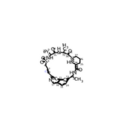 CC(C)C1NS(=O)(=O)C/C=C/c2cc3cc(ccc3cn2)[C@@H](C)NC(=O)[C@@H]2CCCN(N2)C(=O)[C@H](C)NC1=O